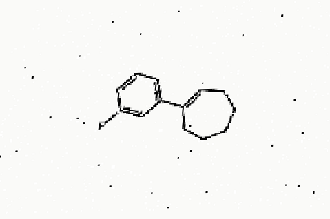 Fc1cccc(C2=CCCCCC2)c1